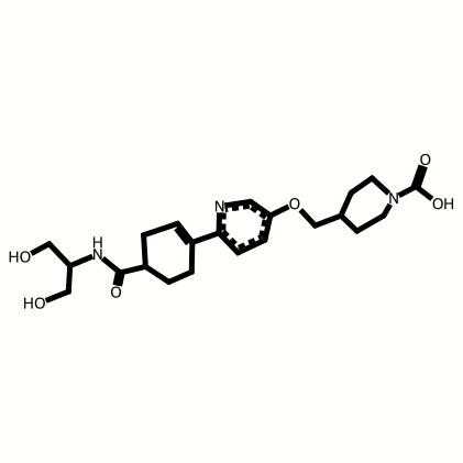 O=C(NC(CO)CO)C1CC=C(c2ccc(OCC3CCN(C(=O)O)CC3)cn2)CC1